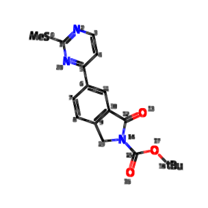 CSc1nccc(-c2ccc3c(c2)C(=O)N(C(=O)OC(C)(C)C)C3)n1